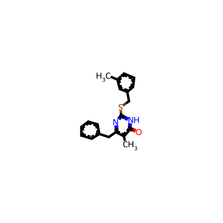 Cc1cccc(CSc2nc(Cc3ccccc3)c(C)c(=O)[nH]2)c1